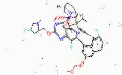 COCOc1cc(-c2ncc3c(N4C[C@H]5CC[C@@H](C4)N5C(=O)O)nc(OC[C@@]4(C)C[C@@H](F)CN4C)nc3c2F)c2c(C#C[Si](C(C)C)(C(C)C)C(C)C)c(F)ccc2c1